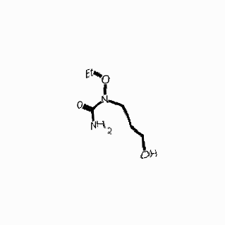 CCON(CCCO)C(N)=O